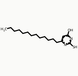 CCCCCCCCCCCCCc1cc(O)nc(S)n1